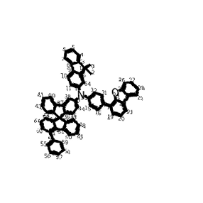 CC1(C)c2ccccc2-c2ccc(N(c3ccc(-c4cccc5c4oc4ccccc45)cc3)c3ccc4c(c3)-c3ccccc3C43c4ccccc4-c4c(-c5ccccc5)cccc43)cc21